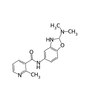 Cc1ncccc1C(=O)Nc1ccc2c(c1)NC(N(C)C)O2